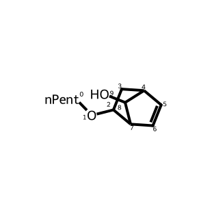 CCCCCOC1CC2C=CC1C2O